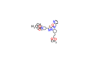 COC(=O)CC[C@H]1CC[C@H](N(Cc2cccnc2)C(=O)c2nnc(C3CCN(C(=O)OC(C)(C)C)CC3)s2)CC1